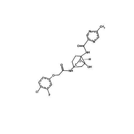 Cc1cnc(C(=O)NC23CCC(NC(=O)COc4ccc(Cl)c(F)c4)(CC2)C[C@@H]3O)cn1